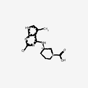 Cc1c[nH]c2nc(Cl)nc(N[C@@H]3CCCN(C(=O)O)C3)c12